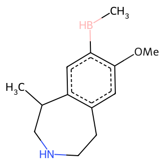 CBc1cc2c(cc1OC)CCNCC2C